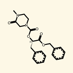 CN1CCN(C(=O)O[C@@H](Cc2ccccc2)C(=O)OCc2ccccc2)CC1=O